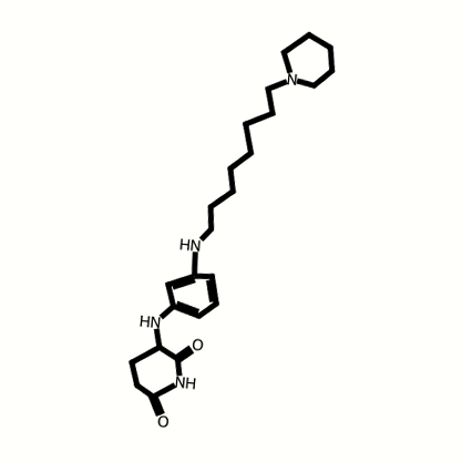 O=C1CCC(Nc2cccc(NCCCCCCCCN3CCCCC3)c2)C(=O)N1